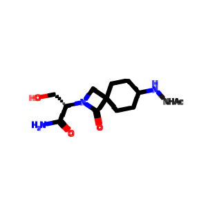 CC(=O)NNC1CCC2(CC1)CN([C@@H](CO)C(N)=O)C2=O